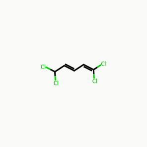 ClC(Cl)=CC=CC(Cl)Cl